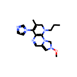 CCCN1CC(C)=C(n2ccnc2)C2=C1N1CN(OC)C=C1C=N2